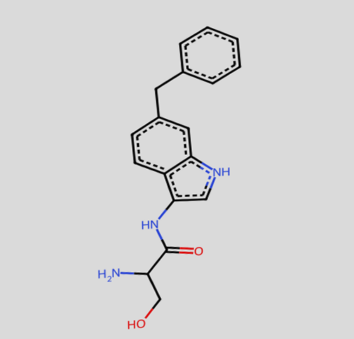 NC(CO)C(=O)Nc1c[nH]c2cc(Cc3ccccc3)ccc12